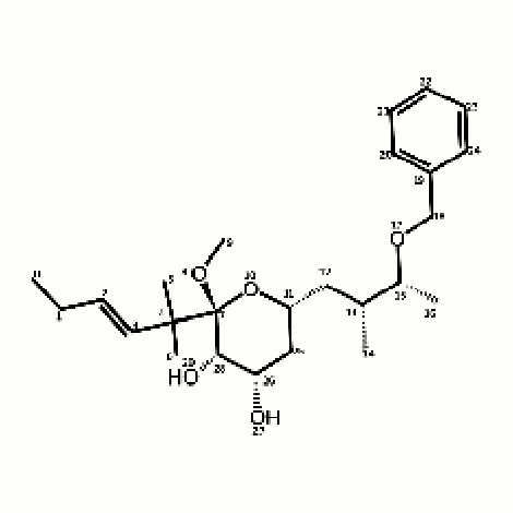 CC/C=C/C(C)(C)[C@]1(OC)O[C@H](C[C@@H](C)[C@@H](C)OCc2ccccc2)C[C@H](O)[C@@H]1O